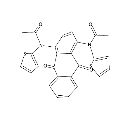 CC(=O)N(c1cccs1)c1ccc(N(C(C)=O)c2cccs2)c2c1C(=O)c1ccccc1C2=O